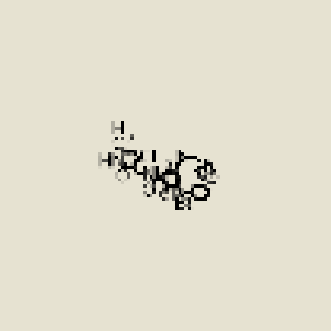 CCN(c1cc(C2CC2CN2CCOCC2)cc(C(=O)NCc2c(C)cc(C)[nH]c2=O)c1C)C1CCCCC1